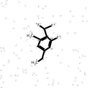 [CH2]Cc1cc(C)c(C(F)F)c(F)c1